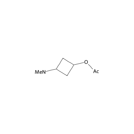 CNC1CC(OC(C)=O)C1